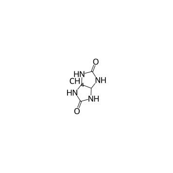 C.O=C1NC2NC(=O)NC2N1